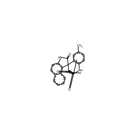 Cc1ccc2c(c1)C1(C(=O)Nc3ccc4ccccc4c31)c1c([nH]c(=O)[nH]c1=O)N2